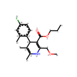 CCCOC(=O)C1=C(COC)NC(C)=C(C)C1c1ccc(F)cc1C